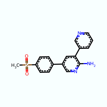 CS(=O)(=O)c1ccc(-c2cnc(N)c(-c3cc[c]nc3)c2)cc1